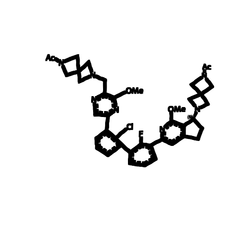 COc1nc(-c2cccc(-c3cccc(-c4cc5c(c(OC)n4)[C@@H](N4CC6(CN(C(C)=O)C6)C4)CC5)c3F)c2Cl)cnc1CN1CC2(C1)CN(C(C)=O)C2